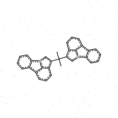 CC(C)(c1cn2c3ccccc3c3cccc1c32)c1cn2c3ccccc3c3cccc1c32